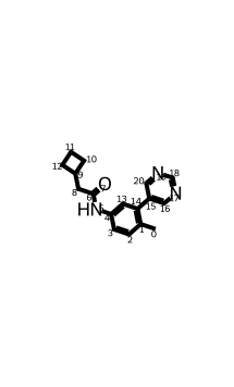 Cc1ccc(NC(=O)CC2CCC2)cc1-c1cncnc1